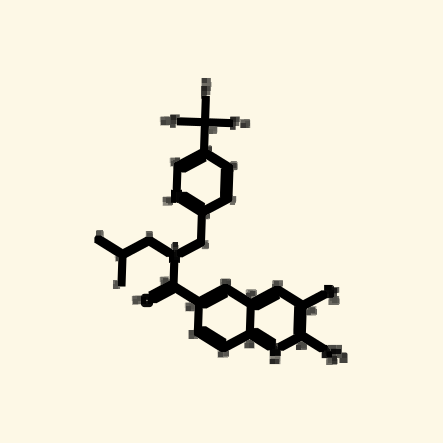 CC(C)CN(Cc1ccc(C(F)(F)F)cn1)C(=O)c1ccc2nc(N)c(Br)cc2c1